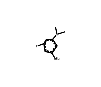 CCCCc1cc(F)cc(N(C)C)c1